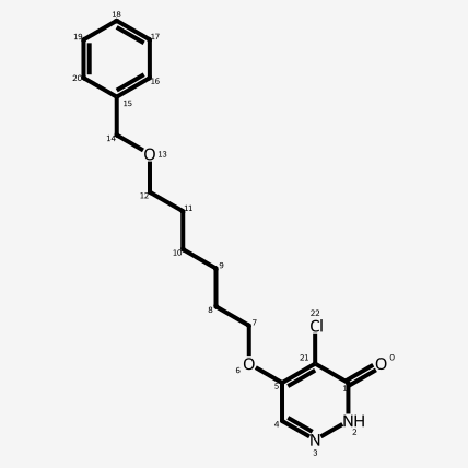 O=c1[nH]ncc(OCCCCCCOCc2ccccc2)c1Cl